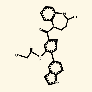 CCC(=O)Nc1cc(C(=O)N2CCC(C)Nc3ccccc32)ccc1-c1ccc2[nH]ccc2c1